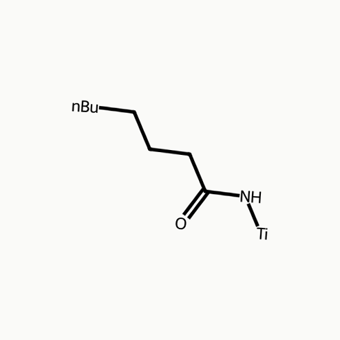 CCCCCCCC(=O)[NH][Ti]